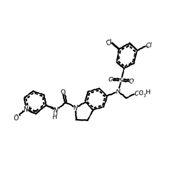 O=C(O)CN(c1ccc2c(c1)CCN2C(=O)Nc1ccc[n+]([O-])c1)S(=O)(=O)c1cc(Cl)cc(Cl)c1